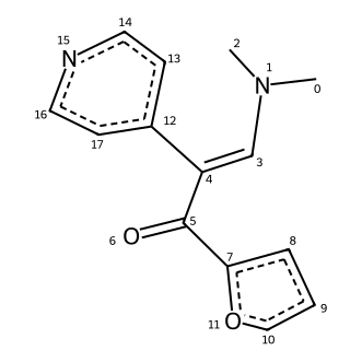 CN(C)/C=C(/C(=O)c1ccco1)c1ccncc1